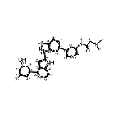 CN(C)CC(=O)Nc1cncc(-c2ccc3[nH]nc(-c4cc5c(-c6cc(O)cc(F)c6)nccc5[nH]4)c3c2)c1